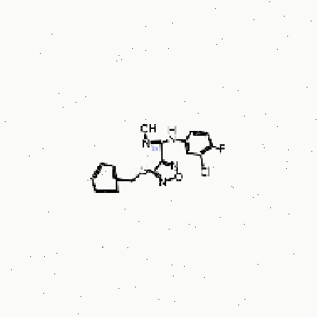 O/N=C(\Nc1ccc(F)c(Cl)c1)c1nonc1SCc1ccccc1